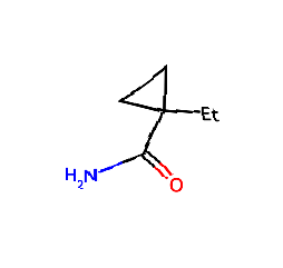 CCC1(C(N)=O)CC1